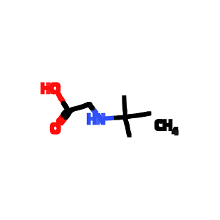 C.CC(C)(C)NCC(=O)O